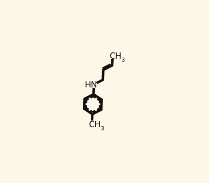 CC=CCNc1ccc(C)cc1